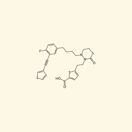 O=C(O)c1ccc(CCN2C(=O)SCCN2CCCCc2ccc(F)c(C#Cc3ccsc3)c2)s1